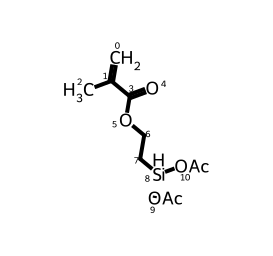 C=C(C)C(=O)OCC[SiH](OC(C)=O)OC(C)=O